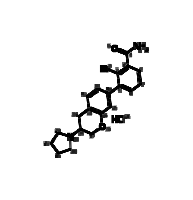 CCc1c(C(N)=O)cccc1-c1ccc2c(c1)OCC(N1CCCC1)C2.Cl